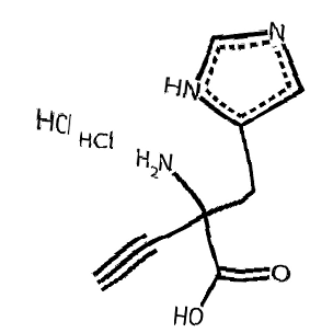 C#CC(N)(Cc1cnc[nH]1)C(=O)O.Cl.Cl